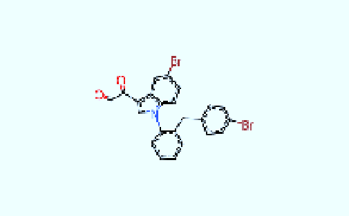 O=CC(=O)c1cn(-c2ccccc2Cc2ccc(Br)cc2)c2ccc(Br)cc12